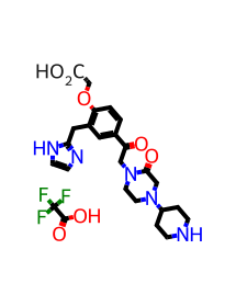 O=C(O)C(F)(F)F.O=C(O)COc1ccc(C(=O)CN2CCN(C3CCNCC3)CC2=O)cc1Cc1ncc[nH]1